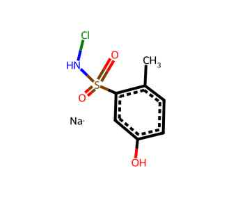 Cc1ccc(O)cc1S(=O)(=O)NCl.[Na]